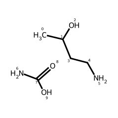 CC(O)CCN.NC(=O)O